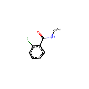 CONC(=O)c1ccccc1F